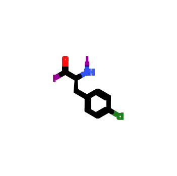 O=C(I)[C@H](Cc1ccc(Cl)cc1)NI